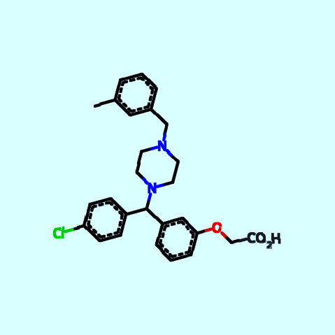 Cc1cccc(CN2CCN(C(c3ccc(Cl)cc3)c3cccc(OCC(=O)O)c3)CC2)c1